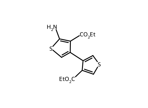 CCOC(=O)c1cscc1-c1csc(N)c1C(=O)OCC